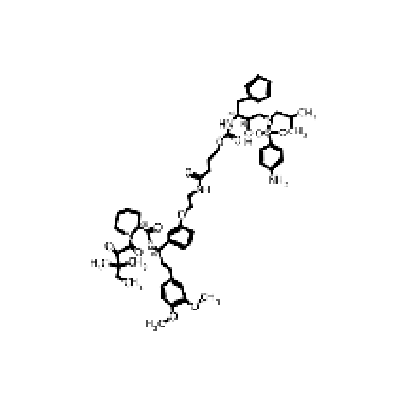 CCC(C)(C)C(=O)C(=O)N1CCCC[C@H]1C(=O)O[C@H](CCc1ccc(OC)c(OC)c1)c1cccc(OCCNC(=O)CCCOC(=O)N[C@@H](Cc2ccccc2)[C@H](O)CN(CC(C)C)S(=O)(=O)c2ccc(N)cc2)c1